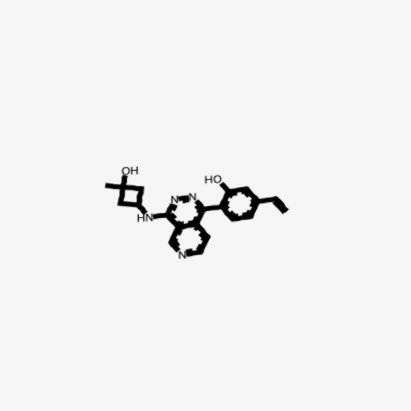 C=Cc1ccc(-c2nnc(NC3CC(C)(O)C3)c3cnccc23)c(O)c1